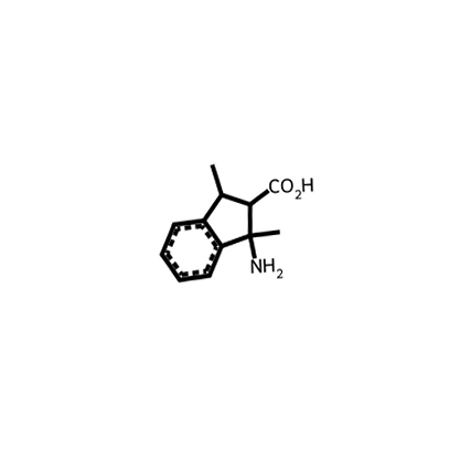 CC1c2ccccc2C(C)(N)C1C(=O)O